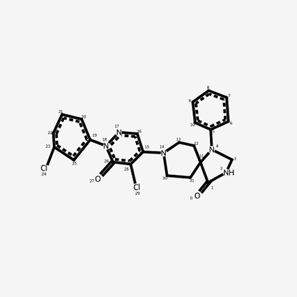 O=C1NCN(c2ccccc2)C12CCN(c1cnn(-c3cccc(Cl)c3)c(=O)c1Cl)CC2